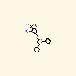 CC(C)(C)c1ccc(CC[C@H](CCC2CCCCC2)OC(=O)c2ccccc2)cc1N